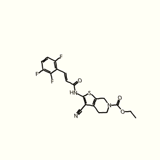 CCOC(=O)N1CCc2c(sc(NC(=O)C=Cc3c(F)ccc(F)c3F)c2C#N)C1